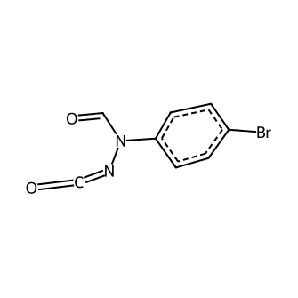 O=C=NN(C=O)c1ccc(Br)cc1